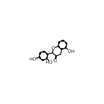 O=C1Cc2c(O)cccc2OC1c1ccc(O)cc1O